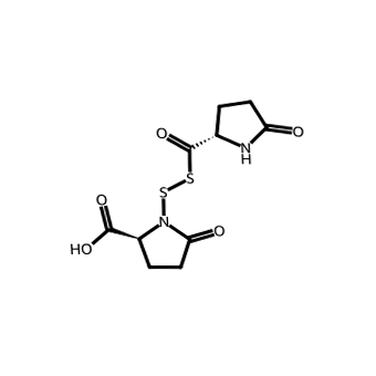 O=C1CC[C@@H](C(=O)SSN2C(=O)CC[C@H]2C(=O)O)N1